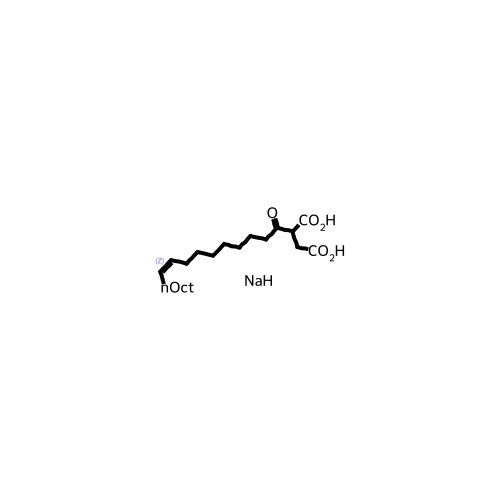 CCCCCCCC/C=C\CCCCCCCC(=O)C(CC(=O)O)C(=O)O.[NaH]